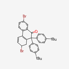 CC(C)(C)c1ccc(C2(c3ccc(C(C)(C)C)cc3)C(=O)c3cc(Br)ccc3C3=C2CC(Br)C=C3)cc1